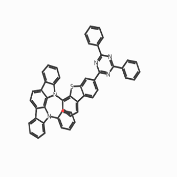 c1ccc(-c2nc(-c3ccccc3)nc(-c3ccc4c(c3)sc3c(-n5c6ccccc6c6ccc7c8ccccc8n(-c8ccccc8)c7c65)cccc34)n2)cc1